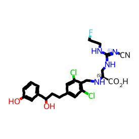 N#C/N=C(/NCCF)NC[C@H](NCc1c(Cl)cc(CCC(O)c2cccc(O)c2)cc1Cl)C(=O)O